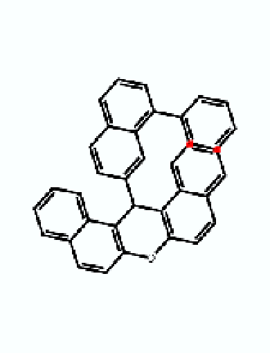 c1ccc(-c2cccc3ccc(C4c5c(ccc6ccccc56)Oc5ccc6ccccc6c54)cc23)cc1